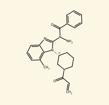 C=CC(=O)N1CCC[C@@H](n2c(N(N)C(=O)c3ccccc3)nc3cccc(C)c32)C1